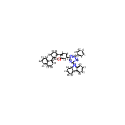 c1ccc(-c2nc(-c3ccc4c(c3)oc3c(-c5cccc6ccccc56)cccc34)nc(-n3c4ccccc4c4ccccc43)n2)cc1